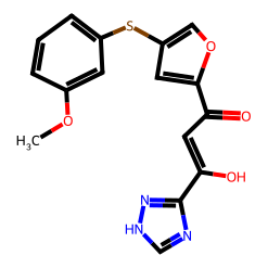 COc1cccc(Sc2coc(C(=O)C=C(O)c3nc[nH]n3)c2)c1